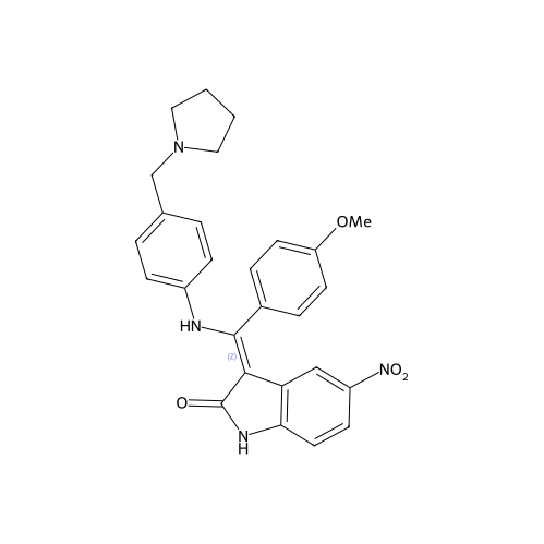 COc1ccc(/C(Nc2ccc(CN3CCCC3)cc2)=C2/C(=O)Nc3ccc([N+](=O)[O-])cc32)cc1